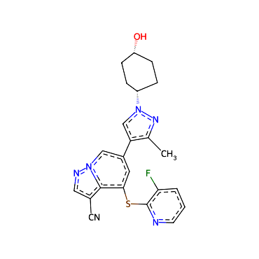 Cc1nn([C@H]2CC[C@@H](O)CC2)cc1-c1cc(Sc2ncccc2F)c2c(C#N)cnn2c1